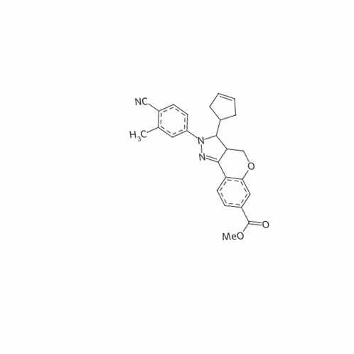 COC(=O)c1ccc2c(c1)OCC1C2=NN(c2ccc(C#N)c(C)c2)C1C1CC=CC1